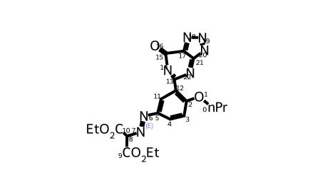 CCCOc1ccc(/N=N/C(C(=O)OCC)C(=O)OCC)cc1C1=NC(=O)C2=NN=NC2=N1